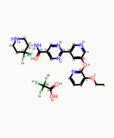 CCOc1cccnc1Oc1cncc(-c2ncc(C(=O)N[C@H]3CNCCC3(F)F)cn2)c1.O=C(O)C(F)(F)F